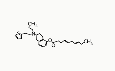 CC/C=C/C/C=C/CCC(=O)Oc1cccc2c1CCC(N(CCC)CCc1cccs1)C2